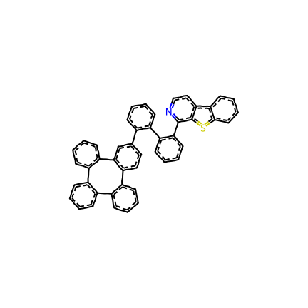 c1ccc(-c2ccccc2-c2nccc3c2sc2ccccc23)c(-c2ccc3c(c2)-c2ccccc2-c2ccccc2-c2ccccc2-3)c1